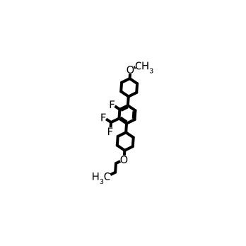 CCCOC1CCC(c2ccc(C3CCC(OC)CC3)c(F)c2C(F)F)CC1